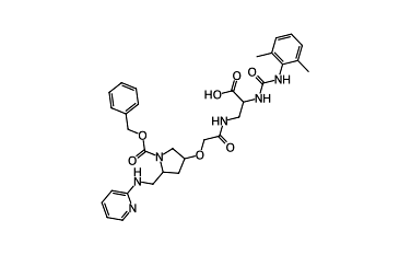 Cc1cccc(C)c1NC(=O)NC(CNC(=O)COC1CC(CNc2ccccn2)N(C(=O)OCc2ccccc2)C1)C(=O)O